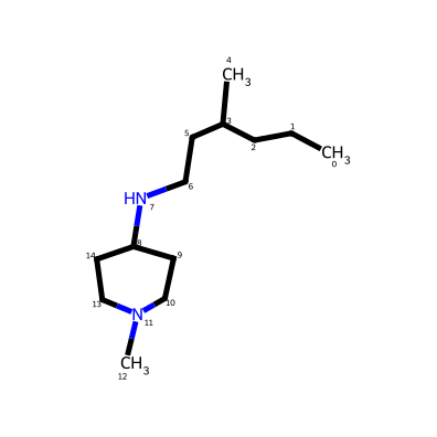 CCCC(C)CCNC1CCN(C)CC1